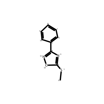 CSc1nc(-c2ccccc2)no1